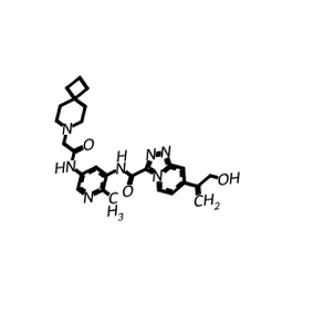 C=C(CO)c1ccn2c(C(=O)Nc3cc(NC(=O)CN4CCC5(CCC5)CC4)cnc3C)nnc2c1